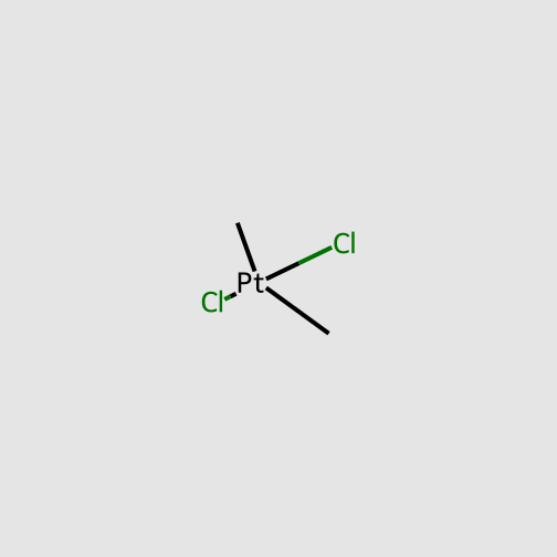 [CH3][Pt]([CH3])([Cl])[Cl]